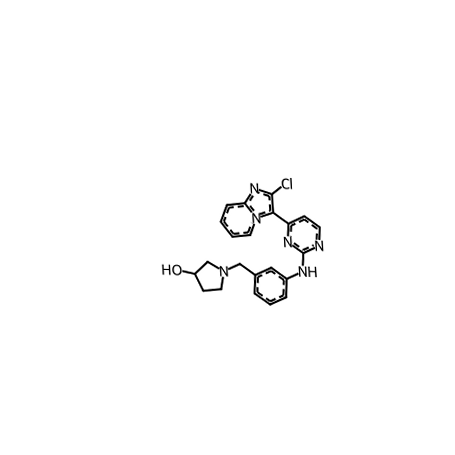 OC1CCN(Cc2cccc(Nc3nccc(-c4c(Cl)nc5ccccn45)n3)c2)C1